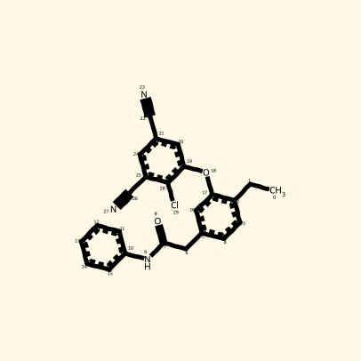 CCc1ccc(CC(=O)Nc2ccccc2)cc1Oc1cc(C#N)cc(C#N)c1Cl